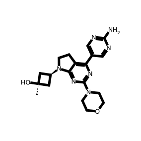 C[C@]1(O)C[C@@H](N2CCc3c(-c4cnc(N)nc4)nc(N4CCOCC4)nc32)C1